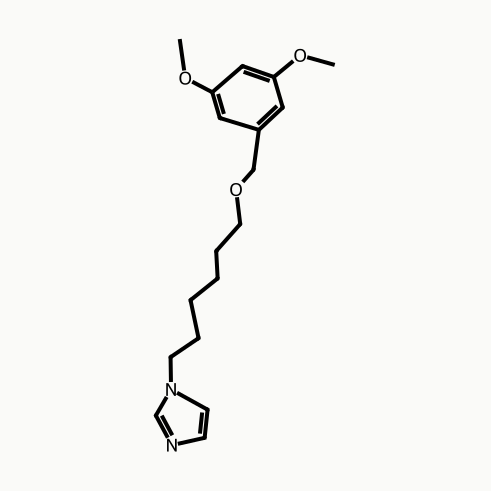 COc1cc(COCCCCCCn2ccnc2)cc(OC)c1